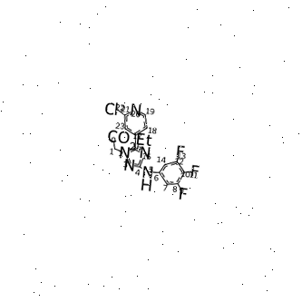 CCOC(=O)Cn1nc(Nc2cc(F)c(F)c(F)c2)nc1-c1ccnc(Cl)c1